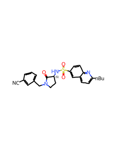 CCCCc1ccc2cc(S(=O)(=O)N[C@H]3CCN(Cc4cccc(C#N)c4)C3=O)ccc2n1